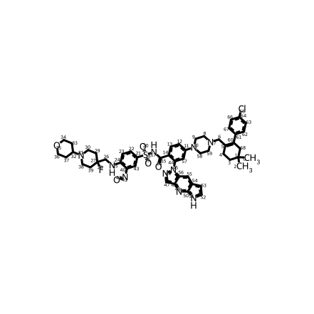 CC1(C)CCC(CN2CCN(c3ccc(C(=O)NS(=O)(=O)c4ccc(NCC5(F)CCN(C6CCOCC6)CC5)c(N=O)c4)c(-n4ncc5nc6[nH]ccc6cc54)c3)CC2)=C(c2ccc(Cl)cc2)C1